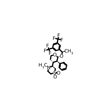 C[C@@H](O[C@H]1OCC[C@@H]([C@H]2CS(=O)(=O)CCN2C)[C@@H]1c1ccccc1)c1cc(C(F)(F)F)cc(C(F)(F)F)c1